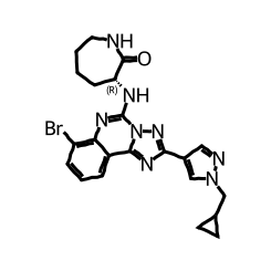 O=C1NCCCC[C@H]1Nc1nc2c(Br)cccc2c2nc(-c3cnn(CC4CC4)c3)nn12